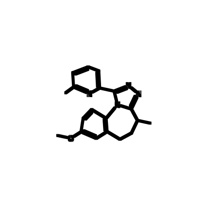 COc1ccc2c(c1)CCC(C)c1nnc(-c3cccc(C)n3)n1-2